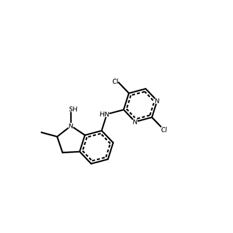 CC1Cc2cccc(Nc3nc(Cl)ncc3Cl)c2N1S